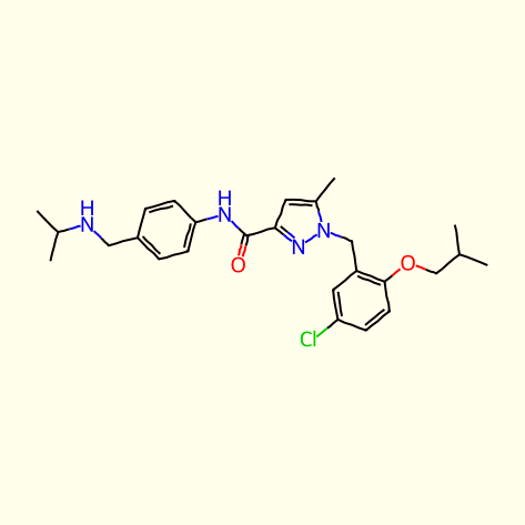 Cc1cc(C(=O)Nc2ccc(CNC(C)C)cc2)nn1Cc1cc(Cl)ccc1OCC(C)C